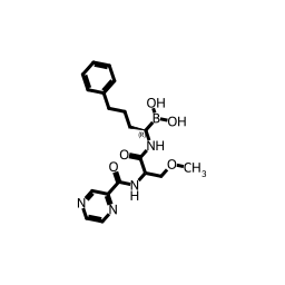 COCC(NC(=O)c1cnccn1)C(=O)N[C@@H](CCCc1ccccc1)B(O)O